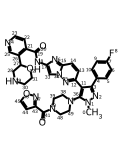 Cn1nc(-c2ccc(F)cc2)c(-c2ccc3nc(NC(=O)c4ccncc4C4CNCCO4)cn3n2)c1N1CCN(C(=O)c2ccon2)CC1